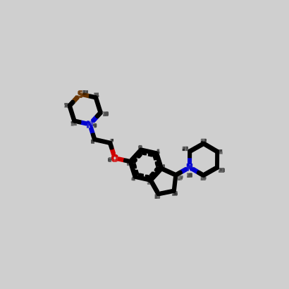 c1cc2c(cc1OCCN1CCSCC1)CCC2N1CCCCC1